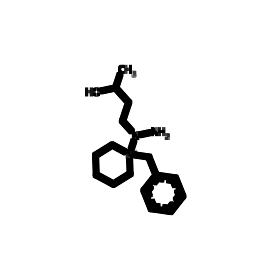 CC(O)CCN(N)[N+]1(Cc2ccccc2)CCCCC1